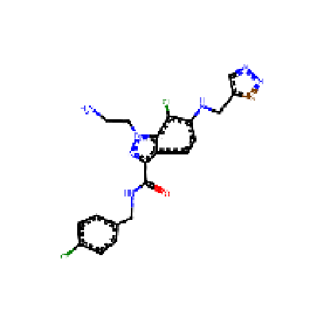 NCCn1nc(C(=O)NCc2ccc(Cl)cc2)c2ccc(NCc3cnns3)c(Cl)c21